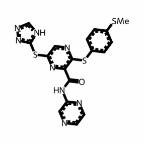 CSc1ccc(Sc2ncc(Sc3nnc[nH]3)nc2C(=O)Nc2cnccn2)cc1